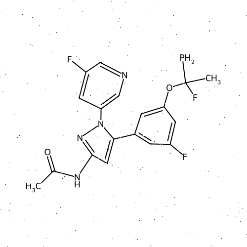 CC(=O)Nc1cc(-c2cc(F)cc(OC(C)(F)P)c2)n(-c2cncc(F)c2)n1